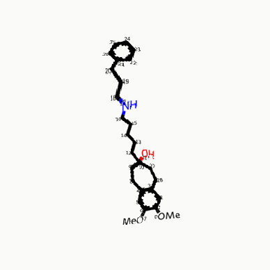 COc1cc2c(cc1OC)CCC(O)(CCCCCNCCCc1ccccc1)CC2